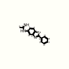 CC(=N)Nc1ccc2sc(-c3ccccc3)nc2c1